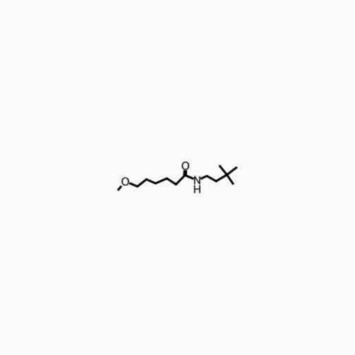 COCCCCCC(=O)NCCC(C)(C)C